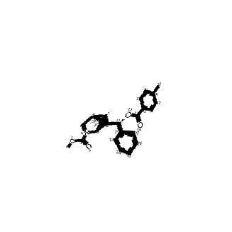 COC(=O)N1CC2C=CC1C([C@H](OC(=O)c1ccc(C)cc1)c1ccccc1)C2